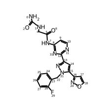 NC(=O)NCC(=O)Nc1ccnc(-c2cc(-c3ccon3)n(Cc3ccccc3F)n2)n1